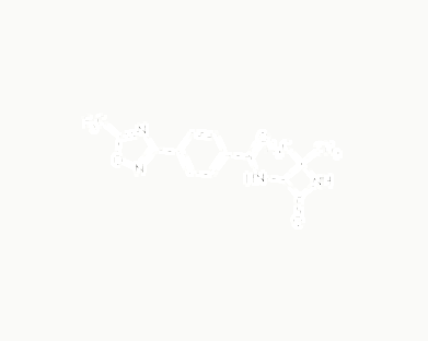 CC1(C)NC(=O)C1NC(=O)c1ccc(-c2noc(C(F)(F)F)n2)cc1